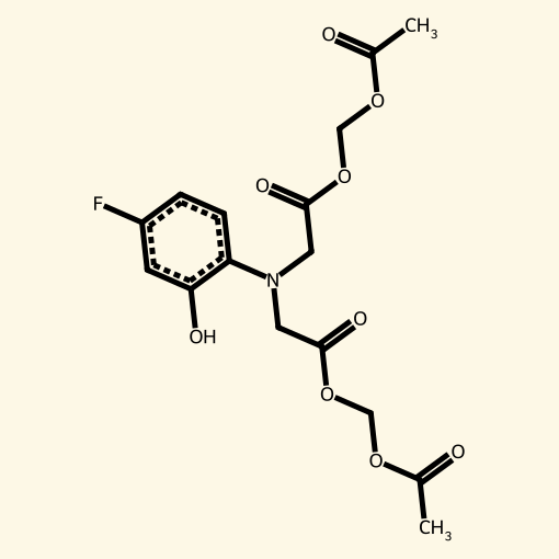 CC(=O)OCOC(=O)CN(CC(=O)OCOC(C)=O)c1ccc(F)cc1O